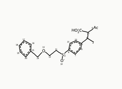 CC(=O)C(C(=O)O)C(C)c1ccc([S+]([O-])CCOCc2ccccc2)cc1